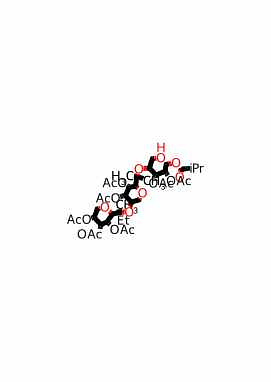 CCC(C)(OC1COC(C(C)(C)OC(CO)C(OC(C)=O)C(COC(=O)C(C)C)OC(C)=O)C(OC(C)=O)C1OC(C)=O)C1OCC(OC(C)=O)C(OC(C)=O)C1OC(C)=O